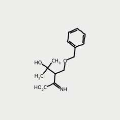 CC(C)(O)C(COCc1ccccc1)C(=N)C(=O)O